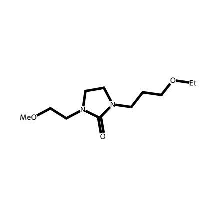 CCOCCCN1CCN(CCOC)C1=O